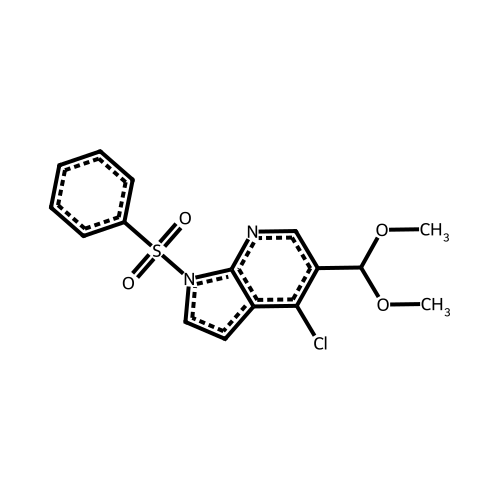 COC(OC)c1cnc2c(ccn2S(=O)(=O)c2ccccc2)c1Cl